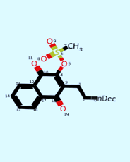 CCCCCCCCCCCCC1=C(OS(C)(=O)=O)C(=O)c2ccccc2C1=O